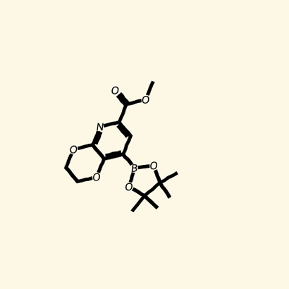 COC(=O)c1cc(B2OC(C)(C)C(C)(C)O2)c2c(n1)OCCO2